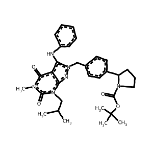 CC(C)Cn1c(=O)n(C)c(=O)c2c(Nc3ccccc3)n(Cc3ccc(C4CCCN4C(=O)OC(C)(C)C)cc3)nc21